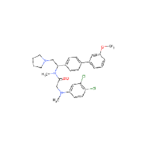 CN(CC(=O)N(C)C(CN1CCCC1)c1ccc(-c2cccc(OC(F)(F)F)c2)cc1)c1ccc(Cl)c(Cl)c1